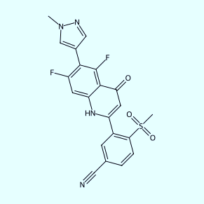 Cn1cc(-c2c(F)cc3[nH]c(-c4cc(C#N)ccc4S(C)(=O)=O)cc(=O)c3c2F)cn1